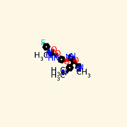 CN(C)Cc1ccc(-c2c(-c3cnn(C)c3)oc3ncnc(Oc4ccc(NC(=O)c5cn(C)n(-c6ccc(F)cc6)c5=O)cc4)c23)cc1